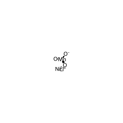 [Li+].[Ni+2].[O]=[Mn]([O-])[O-]